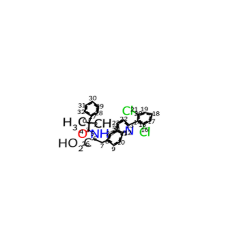 CC(C)(C(=O)N[C@H](Cc1ccc2nc(-c3c(Cl)cccc3Cl)ccc2c1)C(=O)O)c1ccccc1